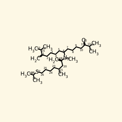 C=C(CCCCC(CCCCC(=O)C(C)C)N(C)C(=C)CC(C)CCCCSC(C)C)C(C)C